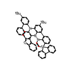 CC(C)(C)c1ccc(N2c3cc(C(C)(C)C)cc4c3B(c3c2ccc2oc5ccccc5c32)N2c3ccccc3[Si]3(c5ccccc5-c5ccccc53)c3cccc-4c32)c(-c2ccccc2)c1